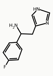 NC(Cc1c[nH]cn1)c1ccc(F)cc1